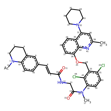 CC(=O)N1CCCc2cc(C=CC(=O)NCC(=O)N(C)c3ccc(Cl)c(COc4cccc5c(N6CCCCC6)cc(C)nc45)c3Cl)ccc21